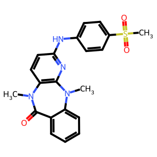 CN1C(=O)c2ccccc2N(C)c2nc(Nc3ccc(S(C)(=O)=O)cc3)ccc21